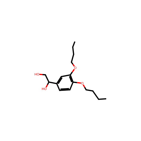 CCCCOc1ccc(C(O)CO)cc1OCCCC